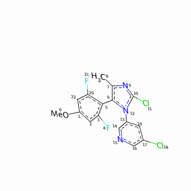 COc1cc(F)c(-c2c(C)nc(Cl)n2-c2cncc(Cl)c2)c(F)c1